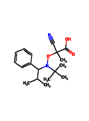 CC(C)C(c1ccccc1)N(OC(C)(C#N)C(=O)O)C(C)(C)C